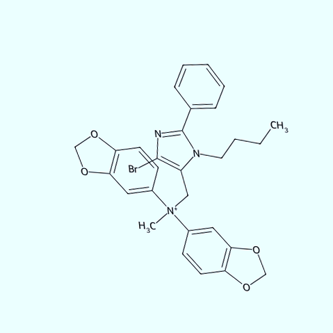 CCCCn1c(-c2ccccc2)nc(Br)c1C[N+](C)(c1ccc2c(c1)OCO2)c1ccc2c(c1)OCO2